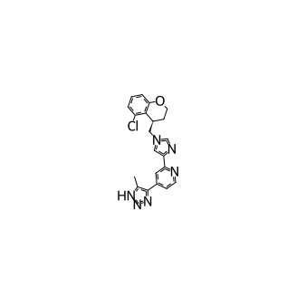 Cc1[nH]nnc1-c1ccnc(-c2cn(C[C@@H]3CCOc4cccc(Cl)c43)cn2)c1